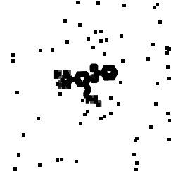 N=C(N)c1ccc(OC(=O)c2ccccc2)c(CCP)c1